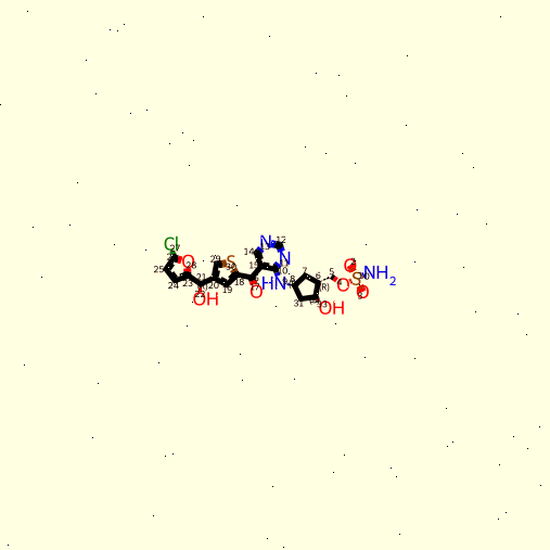 NS(=O)(=O)OC[C@H]1C[C@@H](Nc2ncncc2C(=O)c2cc([C@@H](O)c3ccc(Cl)o3)cs2)C[C@@H]1O